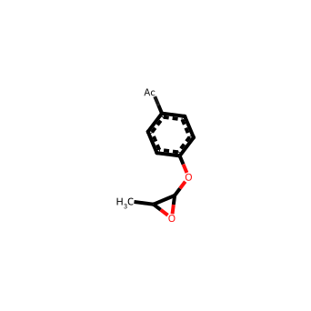 CC(=O)c1ccc(OC2OC2C)cc1